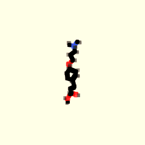 COC(=O)C=Cc1ccc(OCCCN(C)C)cc1